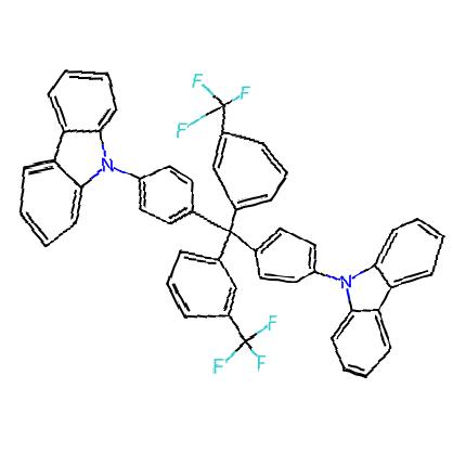 FC(F)(F)c1cccc(C(c2ccc(-n3c4ccccc4c4ccccc43)cc2)(c2ccc(-n3c4ccccc4c4ccccc43)cc2)c2cccc(C(F)(F)F)c2)c1